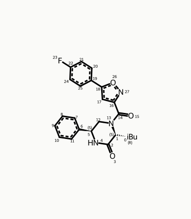 CC[C@@H](C)[C@H]1C(=O)N[C@@H](c2ccccc2)CN1C(=O)c1cc(-c2ccc(F)cc2)on1